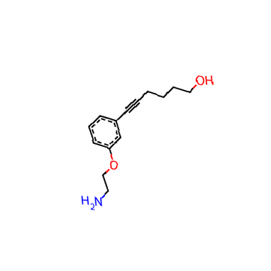 NCCOc1cccc(C#CCCCCO)c1